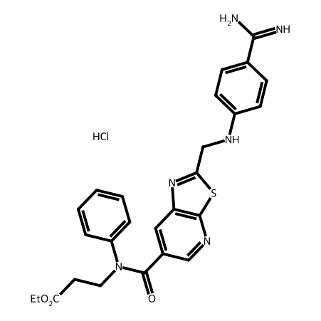 CCOC(=O)CCN(C(=O)c1cnc2sc(CNc3ccc(C(=N)N)cc3)nc2c1)c1ccccc1.Cl